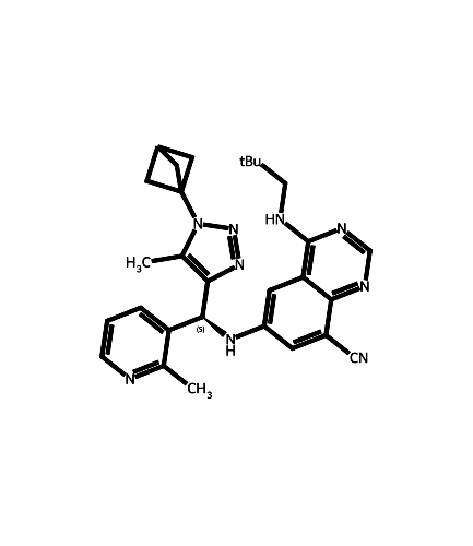 Cc1ncccc1[C@H](Nc1cc(C#N)c2ncnc(NCC(C)(C)C)c2c1)c1nnn(C23CC(C2)C3)c1C